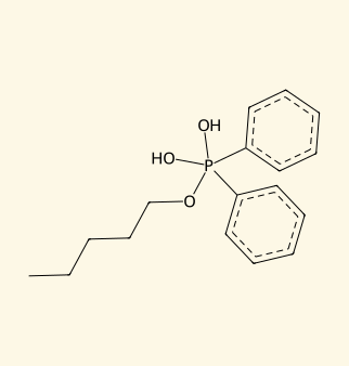 CCCCCOP(O)(O)(c1ccccc1)c1ccccc1